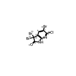 O=C1Nc2nc(Cl)c(Br)cc2C1(Br)Br